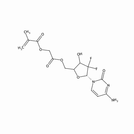 C=C(C)C(=O)OCC(=O)OCC1O[C@@H](n2ccc(N)nc2=O)C(F)(F)C1O